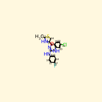 CC1NC(C(=O)/N=C(/Nc2ccc(F)cc2)Nc2cccc(Cl)c2)CS1